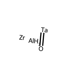 [AlH3].[O]=[Ta].[Zr]